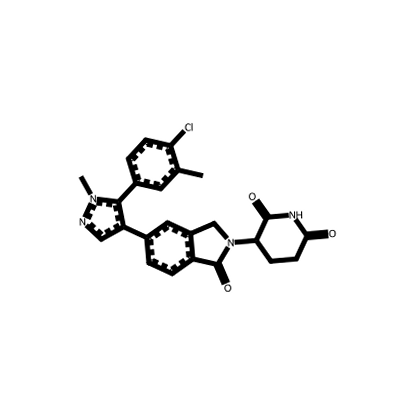 Cc1cc(-c2c(-c3ccc4c(c3)CN(C3CCC(=O)NC3=O)C4=O)cnn2C)ccc1Cl